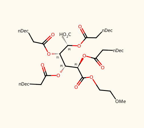 CCCCCCCCCCCC(=O)O[C@H]([C@H](OC(=O)CCCCCCCCCCC)[C@@H](OC(=O)CCCCCCCCCCC)C(=O)O)[C@@H](OC(=O)CCCCCCCCCCC)C(=O)OCCOC